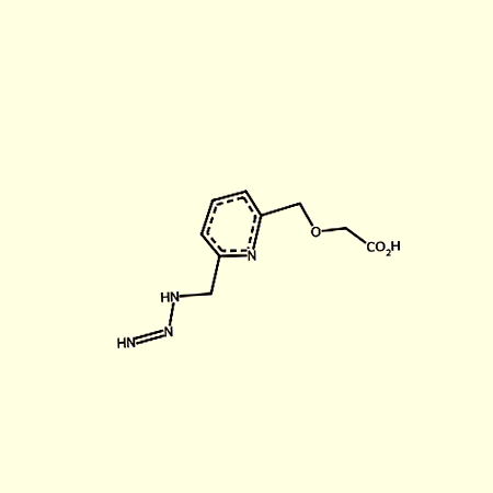 N=NNCc1cccc(COCC(=O)O)n1